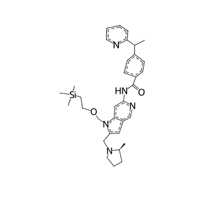 CC(c1ccc(C(=O)Nc2cc3c(cn2)cc(CN2CCC[C@@H]2C)n3COCC[Si](C)(C)C)cc1)c1ccccn1